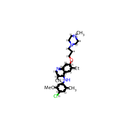 CCc1cc2c(Nc3cc(OC)c(Cl)cc3C)c(C#N)cnc2cc1OCCCN1CCN(C)CC1